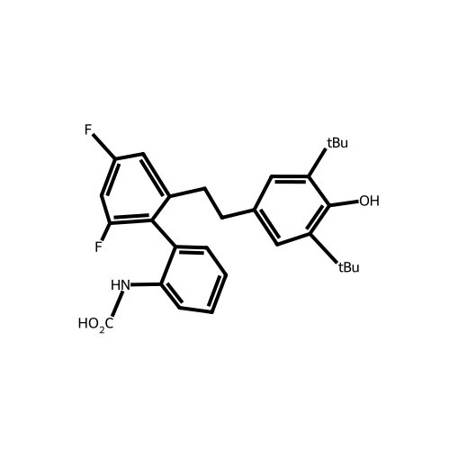 CC(C)(C)c1cc(CCc2cc(F)cc(F)c2-c2ccccc2NC(=O)O)cc(C(C)(C)C)c1O